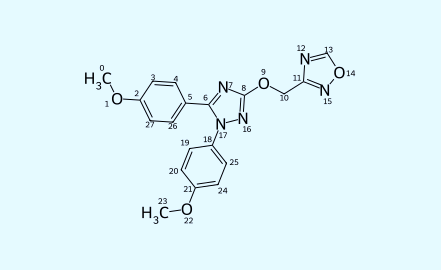 COc1ccc(-c2nc(OCc3ncon3)nn2-c2ccc(OC)cc2)cc1